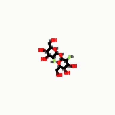 OCC1O[C@H](O[C@@H]2O[C@H](CO)[C@@H](O)C(O)C2F)C(F)[C@@H](O)[C@@H]1O